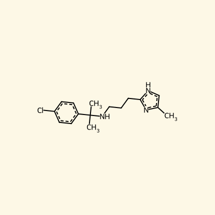 Cc1c[nH]c(CCCNC(C)(C)c2ccc(Cl)cc2)n1